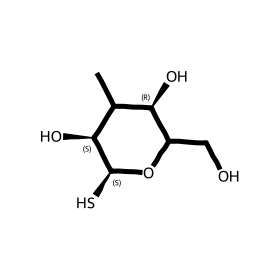 CC1[C@@H](O)C(CO)O[C@@H](S)[C@H]1O